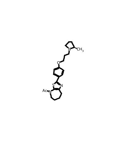 CC(=O)N1CCCCc2nc(-c3ccc(OCCCN4CCC[C@H]4C)cc3)sc21